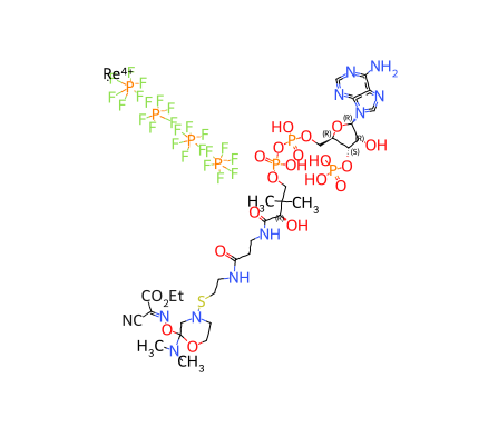 CCOC(=O)C(C#N)=NOC1(N(C)C)CN(SCCNC(=O)CCNC(=O)[C@H](O)C(C)(C)COP(=O)(O)OP(=O)(O)OC[C@H]2O[C@@H](n3cnc4c(N)ncnc43)[C@H](O)[C@@H]2OP(=O)(O)O)CCO1.F[P-](F)(F)(F)(F)F.F[P-](F)(F)(F)(F)F.F[P-](F)(F)(F)(F)F.F[P-](F)(F)(F)(F)F.[Re+4]